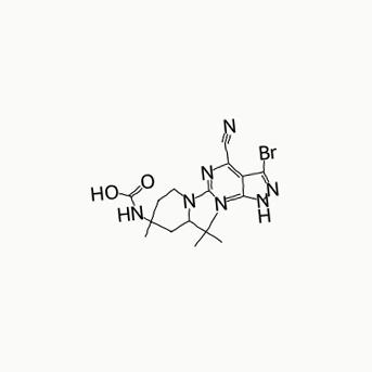 CC1(NC(=O)O)CCN(c2nc(C#N)c3c(Br)n[nH]c3n2)C(C(C)(C)C)C1